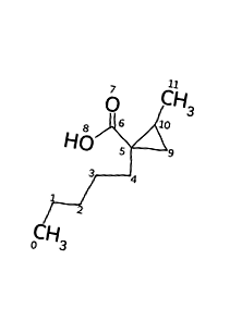 CCCCCC1(C(=O)O)CC1C